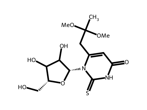 COC(C)(Cc1cc(=O)[nH]c(=S)n1[C@@H]1O[C@H](CO)C(O)C1O)OC